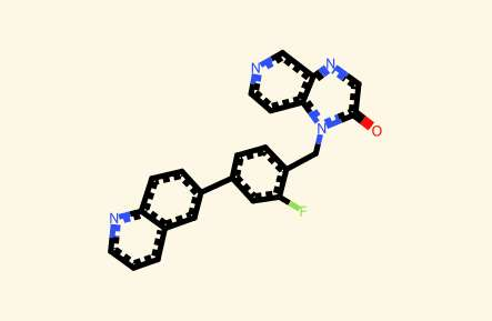 O=c1cnc2cnccc2n1Cc1ccc(-c2ccc3ncccc3c2)cc1F